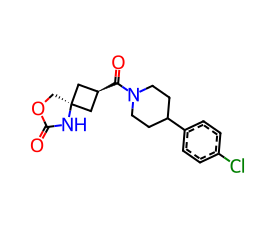 O=C1N[C@]2(CO1)C[C@H](C(=O)N1CCC(c3ccc(Cl)cc3)CC1)C2